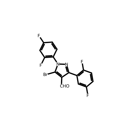 O=Cc1c(-c2cc(F)ccc2F)nn(-c2ccc(F)cc2F)c1Br